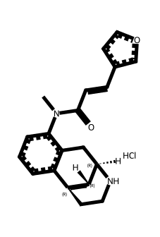 CN(C(=O)C=Cc1ccoc1)c1cccc2c1C[C@H]1NCC[C@@]23CCCC[C@@H]13.Cl